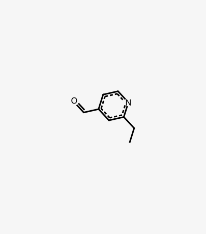 CCc1cc(C=O)ccn1